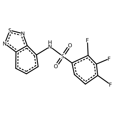 O=S(=O)(Nc1cccc2nsnc12)c1ccc(F)c(F)c1F